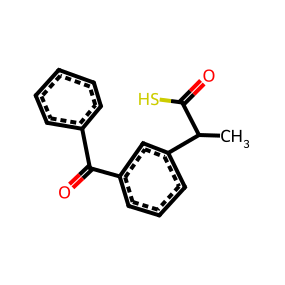 CC(C(=O)S)c1cccc(C(=O)c2ccccc2)c1